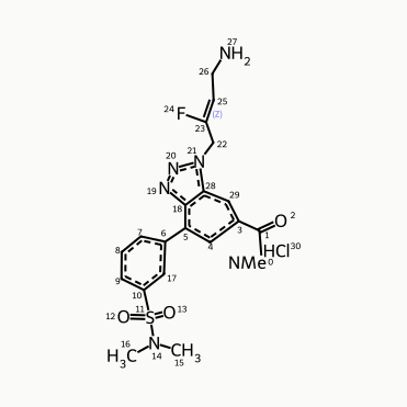 CNC(=O)c1cc(-c2cccc(S(=O)(=O)N(C)C)c2)c2nnn(C/C(F)=C/CN)c2c1.Cl